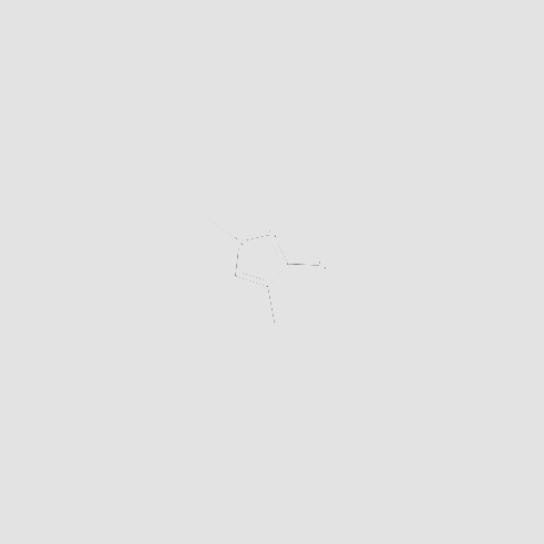 [C-]#[N+]c1nn(C)cc1C